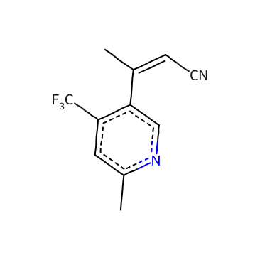 C/C(=C/C#N)c1cnc(C)cc1C(F)(F)F